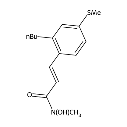 CCCCc1cc(SC)ccc1C=CC(=O)N(C)O